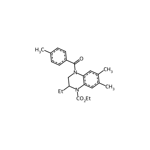 CCOC(=O)N1c2cc(C)c(C)cc2N(C(=O)c2ccc(C)cc2)CC1CC